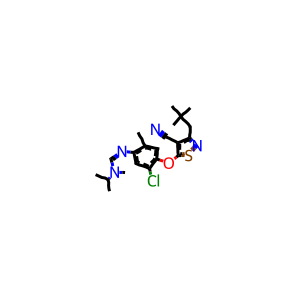 Cc1cc(Oc2snc(CC(C)(C)C)c2C#N)c(Cl)cc1/N=C\N(C)C(C)C